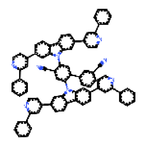 N#Cc1cccc(-c2cc(-n3c4cc(-c5ccnc(-c6ccccc6)c5)ccc4c4ccc(-c5ccnc(-c6ccccc6)c5)cc43)c(C#N)cc2-n2c3cc(-c4ccnc(-c5ccccc5)c4)ccc3c3ccc(-c4ccnc(-c5ccccc5)c4)cc32)c1